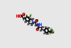 O=C(O)Cc1cc(F)c2c(c1)CCN(C(=O)CNC(=O)/C=C/c1ccc(C(F)(F)F)cc1)C2